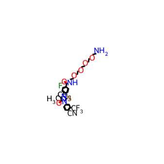 CC1(C)C(=O)N(c2ccc(C#N)c(C(F)(F)F)c2)C(=S)N1c1ccc(C(=O)NCCOCCOCCOCCOCCN)c(F)c1